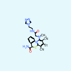 CCc1c(C#N)c(SC(C(N)=O)c2ccccc2)nc(N(C)CC(=O)NCCn2cnnc2)c1C#N